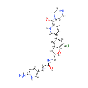 Nc1ccc(/C=C/C(=O)NCC2Cc3cc(-c4ccc(C(=O)N5CCNCC5)nc4)cc(Cl)c3O2)cn1